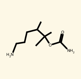 CC(CCCN)C(C)(C)OC(N)=O